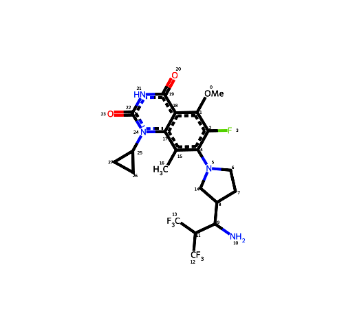 COc1c(F)c(N2CCC(C(N)C(C(F)(F)F)C(F)(F)F)C2)c(C)c2c1c(=O)[nH]c(=O)n2C1CC1